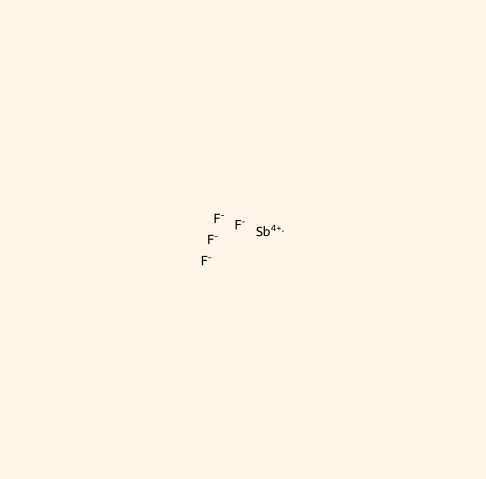 [F-].[F-].[F-].[F-].[Sb+4]